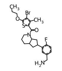 CCCOc1sc(C(=O)N2CCCC3CC(c4cc(CN)ccc4F)CC32)c(C)c1Br